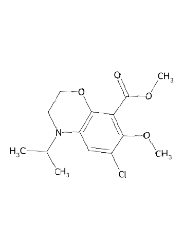 COC(=O)c1c(OC)c(Cl)cc2c1OCCN2C(C)C